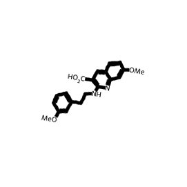 COc1cccc(CCNc2nc3cc(OC)ccc3cc2C(=O)O)c1